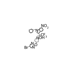 O=[N+]([O-])c1ccc2c(C(O)(CN3CCC(Oc4ncc(Br)cn4)CC3)C(F)(F)F)cn(Cc3ccccc3)c2c1